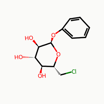 O[C@@H]1[C@@H](O)[C@@H](Oc2ccccc2)O[C@H](CCl)[C@H]1O